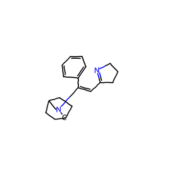 C(=C(c1ccccc1)N1CC2CCC(CC2)C1)C1=NCCC1